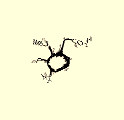 COc1c(CC(=O)O)ccc(C)c1F